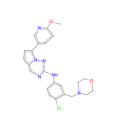 COc1ccc(-c2ccc3cnc(Nc4ccc(Cl)c(CN5CCOCC5)c4)nn23)cn1